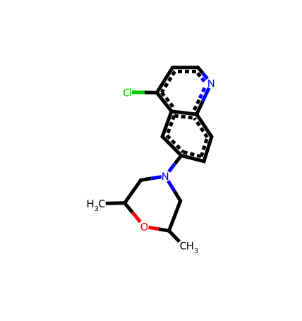 CC1CN(c2ccc3nccc(Cl)c3c2)CC(C)O1